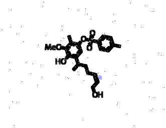 COc1c(C)c(OS(=O)(=O)c2ccc(C)cc2)cc(C(C)CC/C=C\CO)c1O